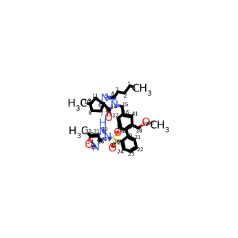 CCCCC1=NC2(CCC(C)C2)C(=O)N1Cc1ccc(-c2ccccc2S(=O)(=O)n2[nH]c3c(C)onc32)c(COC)c1